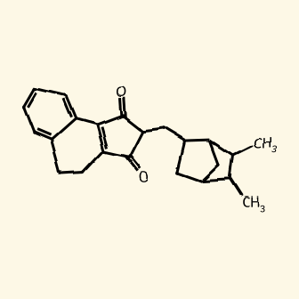 CC1C2CC(CC3C(=O)C4=C(C3=O)c3ccccc3CC4)C(C2)C1C